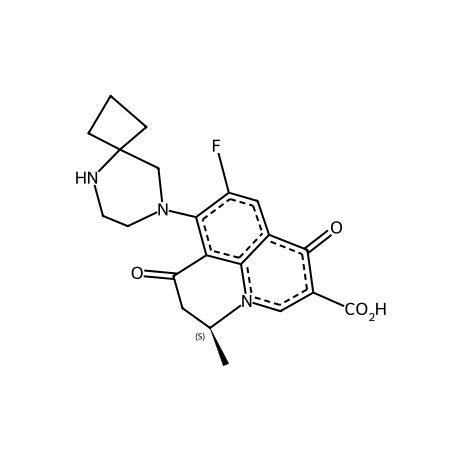 C[C@H]1CC(=O)c2c(N3CCNC4(CCC4)C3)c(F)cc3c(=O)c(C(=O)O)cn1c23